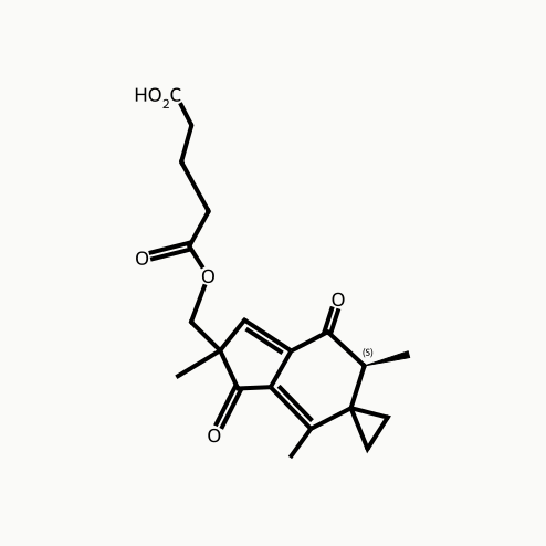 CC1=C2C(=O)C(C)(COC(=O)CCCC(=O)O)C=C2C(=O)[C@@H](C)C12CC2